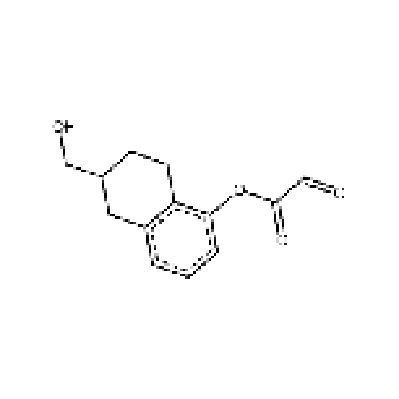 O=CC(=O)Oc1cccc2c1CCC(CO)C2